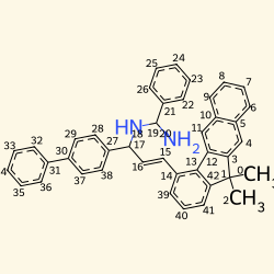 CC1(C)c2cc3ccccc3cc2-c2c(/C=C/C(NC(N)c3ccccc3)c3ccc(-c4ccccc4)cc3)cccc21